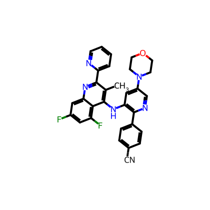 Cc1c(-c2ccccn2)nc2cc(F)cc(F)c2c1Nc1cc(N2CCOCC2)cnc1-c1ccc(C#N)cc1